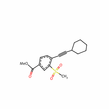 COC(=O)c1ccc(C#CC2CCCCC2)c(S(C)(=O)=O)c1